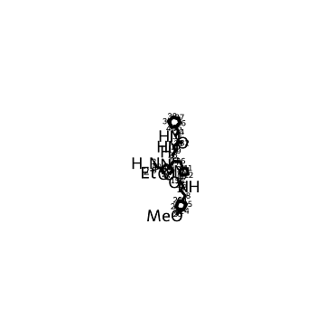 CC[C@H](N)C(=O)N[C@@H]1C(=O)N2C(CC[C@H]2C(=O)NCCc2ccc(OC)cc2)C[C@@H]1CCNC(=O)NCc1ccccc1